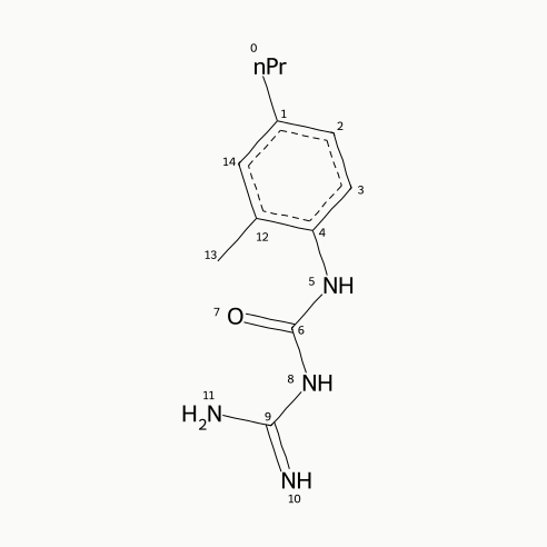 CCCc1ccc(NC(=O)NC(=N)N)c(C)c1